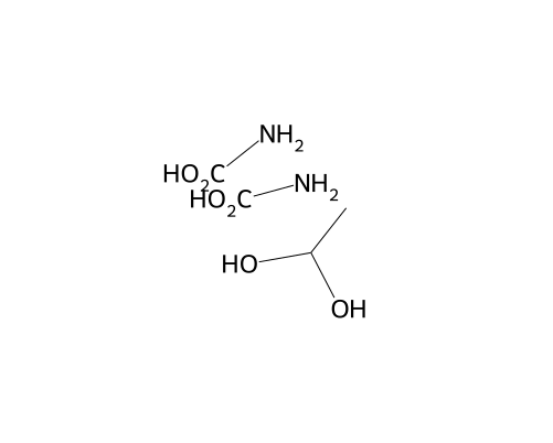 CC(O)O.NC(=O)O.NC(=O)O